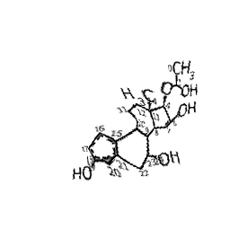 CC(O)O[C@H]1C(O)=CC2C3C(CC[C@@]21C)c1ccc(O)cc1C[C@@H]3O